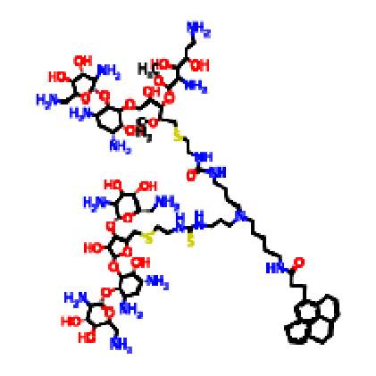 COC(CSCCNC(=O)NCCCCN(CCCCCNC(=O)CCc1cc2cccc3c2c2c1CC=CC2=CC3)CCCNC(=S)NCCSCC1OC(OC2[C@H](O[C@@H]3OC(CN)[C@@H](O)[C@H](O)C3N)C(N)C[C@@H](N)[C@H]2O)[C@@H](O)[C@H]1O[C@H]1O[C@@H](CN)[C@@H](O)C(O)C1N)[C@H](O[C@@H](OC)C(N)C(O)[C@H](O)CCN)[C@H](O)COC1[C@H](O[C@@H]2OC(CN)[C@@H](O)[C@H](O)C2N)C(N)C[C@@H](N)[C@H]1O